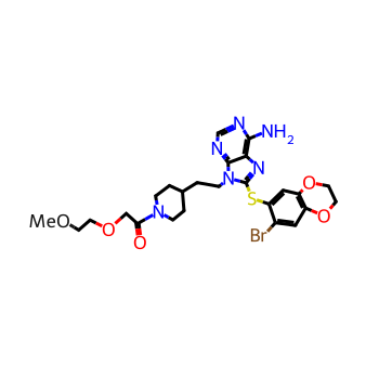 COCCOCC(=O)N1CCC(CCn2c(Sc3cc4c(cc3Br)OCCO4)nc3c(N)ncnc32)CC1